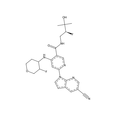 CC(C)(O)[C@@H](F)CNC(=O)c1cnc(-n2ccc3cc(C#N)cnc32)cc1NC1CCOCC1F